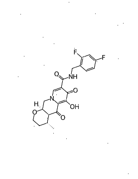 C[C@@H]1CCO[C@H]2Cn3cc(C(=O)NCc4ccc(F)cc4F)c(=O)c(O)c3C(=O)C12